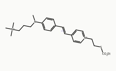 CCOC(=O)SCC[n+]1ccc(/C=C/c2ccc(N(C)CCC[N+](C)(C)C)cc2)cc1